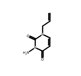 C=CCn1ccc(=O)n(N)c1=O